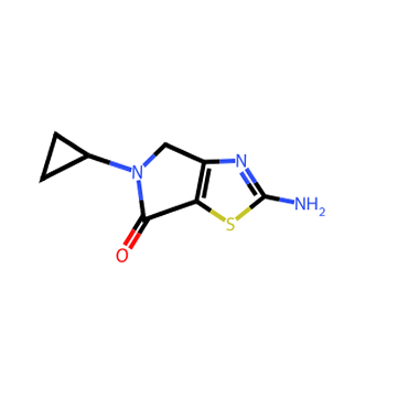 Nc1nc2c(s1)C(=O)N(C1CC1)C2